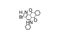 NC1=C(Br)C=C(Nc2ccccc2)C2C(=O)c3ccccc3C(=O)C12